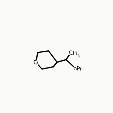 CCCC(C)C1CCOCC1